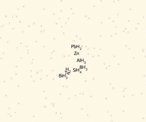 B.[AlH3].[BiH3].[PbH2].[SiH4].[TeH2].[Zn]